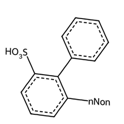 CCCCCCCCCc1cccc(S(=O)(=O)O)c1-c1ccccc1